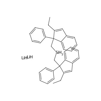 CCC1=Cc2ccccc2C1(C[SiH2]CC1(c2ccccc2)C(CC)=Cc2ccccc21)c1ccccc1.[LiH].[LiH]